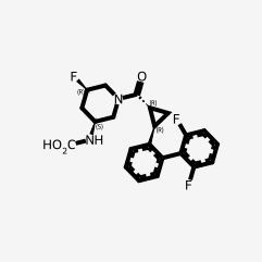 O=C(O)N[C@H]1C[C@@H](F)CN(C(=O)[C@@H]2C[C@H]2c2ccccc2-c2c(F)cccc2F)C1